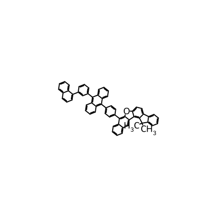 CC1(C)c2ccccc2-c2ccc3oc4c(-c5ccc(-c6c7ccccc7c(-c7cccc(-c8cccc9ccccc89)c7)c7ccccc67)cc5)c5ccccc5cc4c3c21